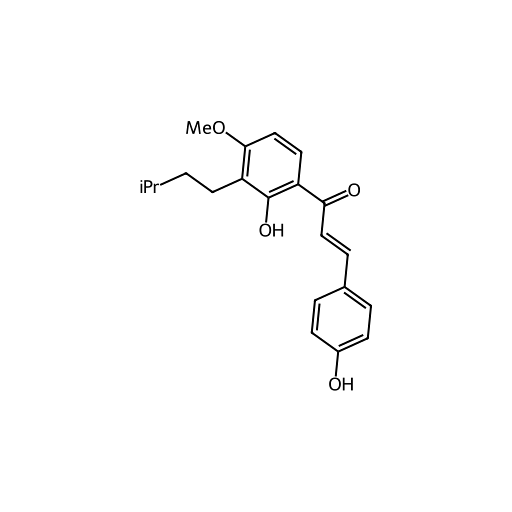 COc1ccc(C(=O)C=Cc2ccc(O)cc2)c(O)c1CCC(C)C